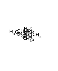 CCN(C[C@@H]1OC(C)(C)O[C@@H]1[C@H]1COC(C)(C)O1)C(=O)C(=O)NC1C(C)CC1C